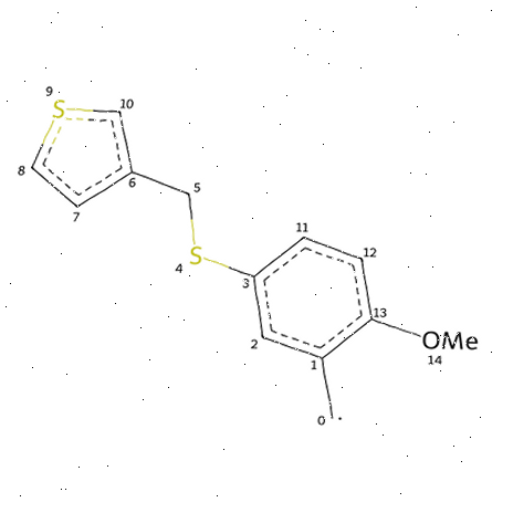 [CH2]c1cc(SCc2ccsc2)ccc1OC